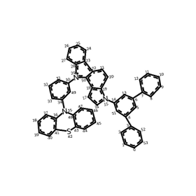 c1ccc(-c2cc(-c3ccccc3)cc(-n3ccc4c3ccc3c5ccccc5n(-c5cccc(N6c7ccccc7Sc7ccccc76)c5)c34)c2)cc1